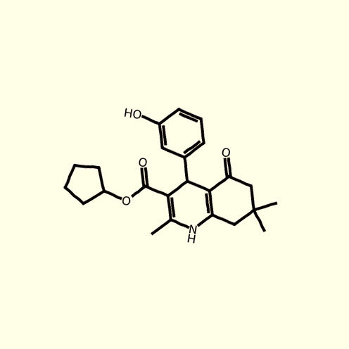 CC1=C(C(=O)OC2CCCC2)C(c2cccc(O)c2)C2=C(CC(C)(C)CC2=O)N1